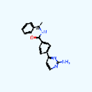 C[C@@H](NC(=O)c1ccc(-c2ccnc(N)n2)cc1)c1ccccc1